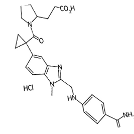 Cl.Cn1c(CNc2ccc(C(=N)N)cc2)nc2cc(C3(C(=O)N4CCCC4CCC(=O)O)CC3)ccc21